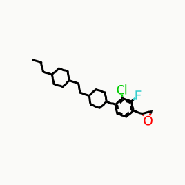 CCCC1CCC(CCC2CCC(c3ccc(C4CO4)c(F)c3Cl)CC2)CC1